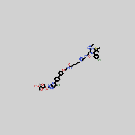 Cc1sc2c(c1C)C(c1ccc(Cl)cc1)=N[C@@H](CC(=O)NCc1cn(CCCCCC(=O)NCCOc3ccc(-c4ccc(-c5nc6nc(O[C@@H]7CO[C@H]8[C@@H]7OC[C@H]8O)[nH]c6cc5Cl)cc4)cc3)nn1)c1nnc(C)n1-2